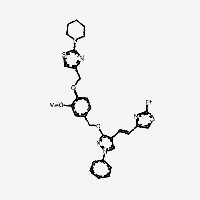 CCc1nc(C=Cc2cn(-c3ccccc3)nc2OCc2ccc(OCc3csc(N4CCCCC4)n3)c(OC)c2)cs1